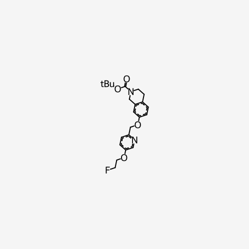 CC(C)(C)OC(=O)N1CCc2ccc(OCc3ccc(OCCF)cn3)cc2C1